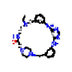 CCN1CCNC(=O)CN2CCN(CC2)Cc2cccc(c2)Nc2cc(ncn2)Nc2cccc(c2)C1